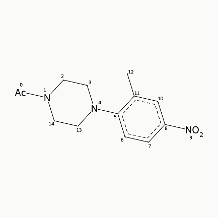 CC(=O)N1CCN(c2ccc([N+](=O)[O-])cc2C)CC1